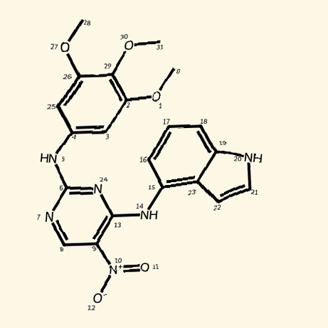 COc1cc(Nc2ncc([N+](=O)[O-])c(Nc3cccc4[nH]ccc34)n2)cc(OC)c1OC